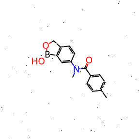 Cc1ccc(C(=O)N(C)c2ccc3c(c2)B(O)OC3)cc1